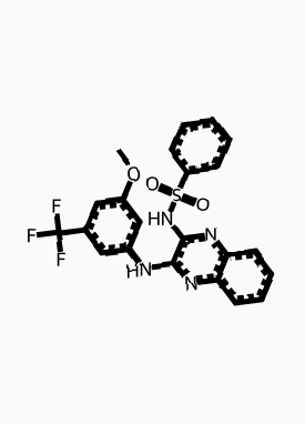 COc1cc(Nc2nc3ccccc3nc2NS(=O)(=O)c2ccccc2)cc(C(F)(F)F)c1